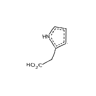 O=C(O)Cc1[c]cc[nH]1